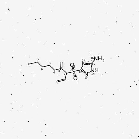 C=CC(NCCCCC)S(=O)(=O)c1n[nH]c(N)n1